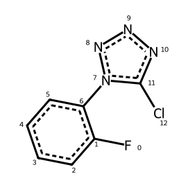 Fc1ccccc1-n1nnnc1Cl